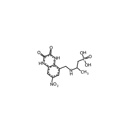 CC(CP(=O)(O)O)NCc1cc([N+](=O)[O-])cc2[nH]c(=O)c(=O)[nH]c12